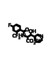 CCOC(=O)C(NC(=O)c1ccc(F)cc1C(F)(F)F)C(O)c1cccnc1